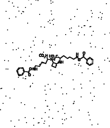 O=C(ONCCCCC(NC1CCC1NC(CCCCNOC(=O)c1ccccc1)C(=O)O)C(=O)O)c1ccccc1